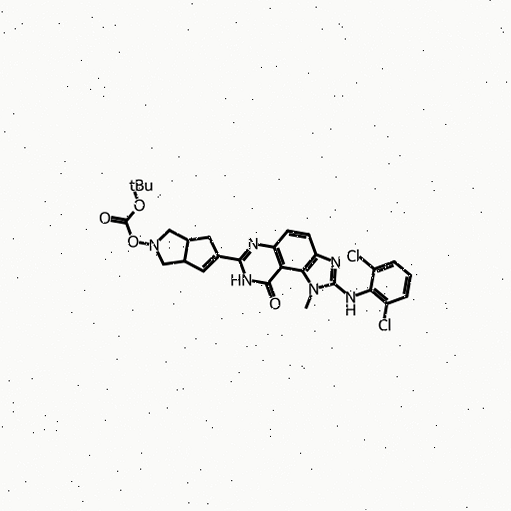 Cn1c(Nc2c(Cl)cccc2Cl)nc2ccc3nc(C4=CC5CN(OC(=O)OC(C)(C)C)CC5C4)[nH]c(=O)c3c21